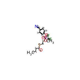 CCCC(=O)SCCOP(=O)(Oc1ccc(C#N)cc1)C(C)(F)F